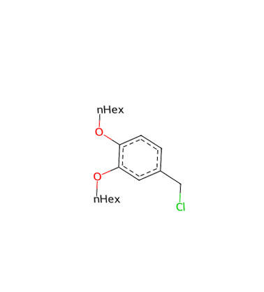 CCCCCCOc1ccc(CCl)cc1OCCCCCC